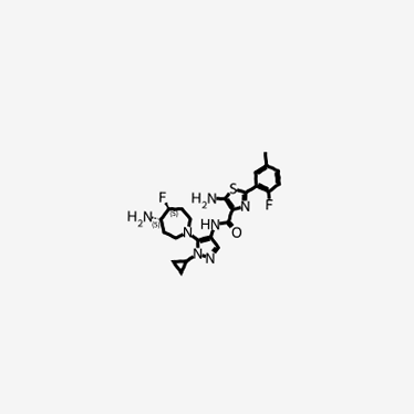 Cc1ccc(F)c(-c2nc(C(=O)Nc3cnn(C4CC4)c3N3CC[C@H](N)[C@@H](F)CC3)c(N)s2)c1